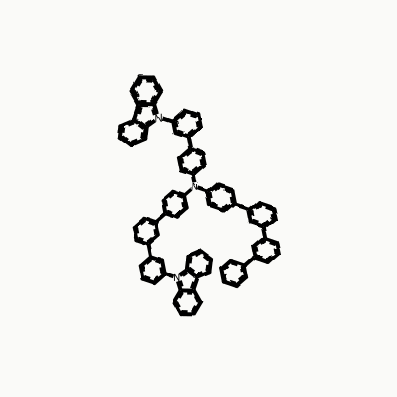 c1ccc(-c2cccc(-c3cccc(-c4ccc(N(c5ccc(-c6cccc(-c7cccc(-n8c9ccccc9c9ccccc98)c7)c6)cc5)c5ccc(-c6cccc(-n7c8ccccc8c8ccccc87)c6)cc5)cc4)c3)c2)cc1